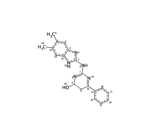 Cc1cc2nc(NC3=NC(O)CC(c4ccccc4)=N3)[nH]c2cc1C